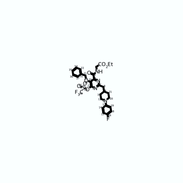 CCOC(=O)CNC(=O)c1nc(CC2CCN(c3ccc(F)cc3)CC2)nc(OS(=O)(=O)C(F)(F)F)c1OCc1ccccc1